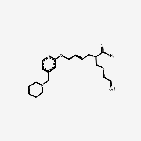 NC(=O)C(CC=CCOc1cc(CN2CCCCC2)ccn1)CSCCO